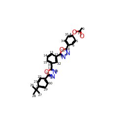 CC(=O)Oc1ccc(-c2nnc(-c3cccc(-c4nnc(-c5ccc(C(C)(C)C)cc5)o4)c3)o2)cc1